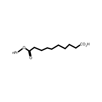 CCCOC(=O)CCCCCCCCC(=O)O